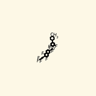 CC1CCC(c2cc(F)c(OC(F)(F)c3ccc4c(F)c(C#CC(F)(F)F)c(F)cc4c3)c(F)c2)CC1